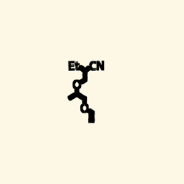 C=COCC(C)OCC(C#N)CC